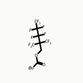 CCC(C)C(=O)OCC(C(F)(F)F)(C(F)(F)F)C(F)(F)C(F)(F)C(F)(F)F